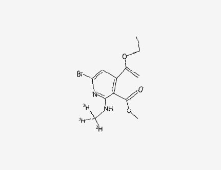 [2H]C([2H])([2H])Nc1nc(Br)cc(C(=C)OCC)c1C(=O)OC